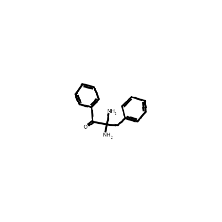 NC(N)(Cc1ccccc1)C(=O)c1ccccc1